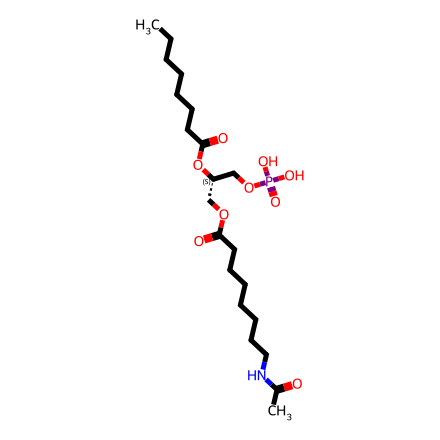 CCCCCCCC(=O)O[C@@H](COC(=O)CCCCCCCNC(C)=O)COP(=O)(O)O